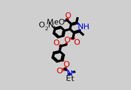 CCN(C)C(=O)Oc1cccc(C(=O)COC(=O)C2=C(C)NC(C)=C(C(=O)OC)C2c2cccc([N+](=O)[O-])c2)c1